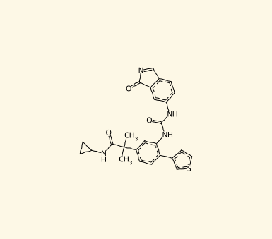 CC(C)(C(=O)NC1CC1)c1ccc(-c2ccsc2)c(NC(=O)Nc2ccc3c(c2)C(=O)N=C3)c1